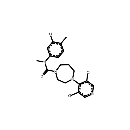 Cc1ccc(N(C)C(=O)N2CCCN(c3c(Cl)cncc3Cl)CC2)cc1Cl